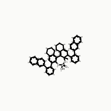 CC12OP(=O)(O)Oc3c(-c4ccccc4-c4ccc5ccccc5c4)cc4c(c3C1=C1CCCCC1=CC2c1ccccc1-c1ccc2ccccc2c1)CCCC4